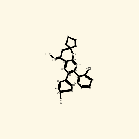 ON=C1CC2(CCCC2)Oc2nc(-c3ccccc3Cl)c(-c3ccc(Cl)cc3)cc21